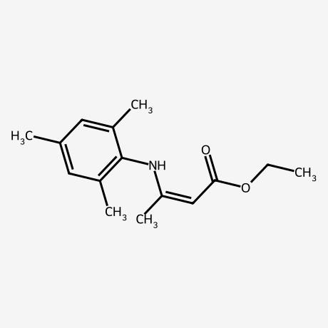 CCOC(=O)/C=C(/C)Nc1c(C)cc(C)cc1C